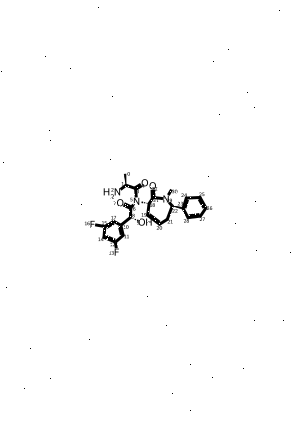 C[C@H](N)C(=O)N(C(=O)[C@H](O)c1cc(F)cc(F)c1)[C@H]1C=CC[C@H](c2ccccc2)N(C)C1=O